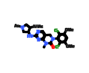 COc1cc(OC)c(Cl)c(N2Cc3cnc(NC4CN(C(C)=O)CC4NC(C)=O)nc3N(C)C2=O)c1Cl